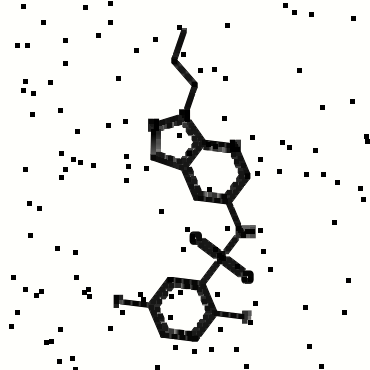 CCCn1ncc2cc(NS(=O)(=O)c3cc(F)ccc3F)cnc21